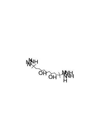 CC(C)(CCC(O)CCCC(O)CCC(C)(C)c1nnn[nH]1)C1=NNNN1